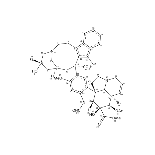 CC[C@]1(O)C[C@H]2CN(CCc3c(n(C)c4ccccc34)[C@@](C(=O)O)(c3cc4c(cc3OC)N(C=O)[C@H]3[C@@](O)(C(=O)OC)[C@H](OC(C)=O)[C@]5(CC)C=CCN6CC[C@]43C65)C2)C1